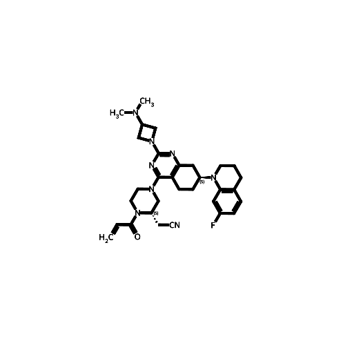 C=CC(=O)N1CCN(c2nc(N3CC(N(C)C)C3)nc3c2CC[C@H](N2CCCc4ccc(F)cc42)C3)C[C@@H]1CC#N